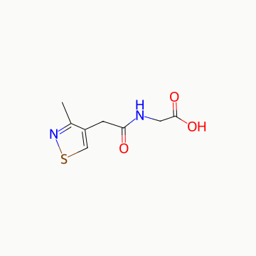 Cc1nscc1CC(=O)NCC(=O)O